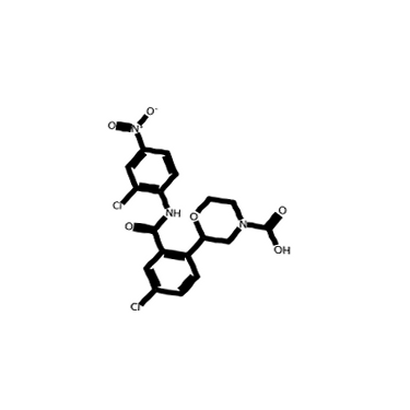 O=C(Nc1ccc([N+](=O)[O-])cc1Cl)c1cc(Cl)ccc1C1CN(C(=O)O)CCO1